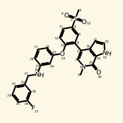 Cn1cc(-c2cc(S(C)(=O)=O)ccc2Oc2cccc(NCc3cccc(F)c3)c2)c2cc[nH]c2c1=O